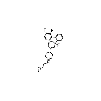 COCCC[Si@H]1CC[C@H](C2=CC(F)(c3ccccc3-c3cccc(F)c3F)CC=C2)CC1